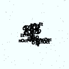 CCCCCCCCCCC(CCCCCCCC)CN1C(=O)/C(=C2/C(=O)N(CC(CCCCCCCC)CCCCCCCCCC)c3cc(-c4cc5c(-c6sc(CC(CC)CCCC)c7c6OCCO7)c6sc(C)cc6c(-c6sc(CC(CC)CCCC)c7c6OCCO7)c5s4)sc32)c2sc(C)cc21